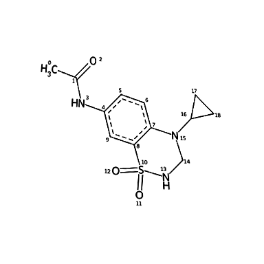 CC(=O)Nc1ccc2c(c1)S(=O)(=O)NCN2C1CC1